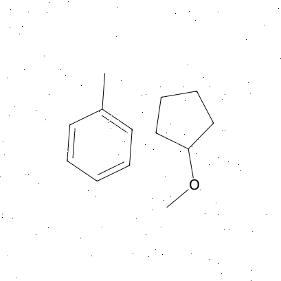 COC1CCCC1.Cc1ccccc1